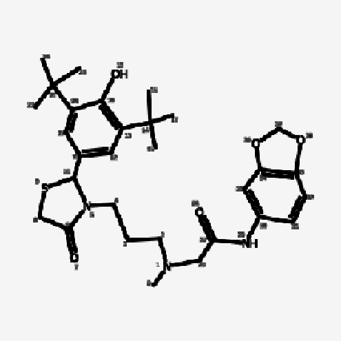 CN(CCCN1C(=O)CSC1c1cc(C(C)(C)C)c(O)c(C(C)(C)C)c1)CC(=O)Nc1ccc2c(c1)OCO2